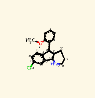 COc1ccccc1C1c2ccc(Cl)cc2C2NCCCC21